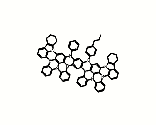 CCCc1ccc(N2c3cc4c(cc3B3c5ccccc5N5c6ccccc6B6c7c(cc2c3c75)-n2c3c(c5cccc6c52)CCCC3)B2c3ccccc3N3c5ccccc5B5c6c(cc(c2c63)N4c2ccccc2)-n2c3c(c4cccc5c42)CCCC3)cc1